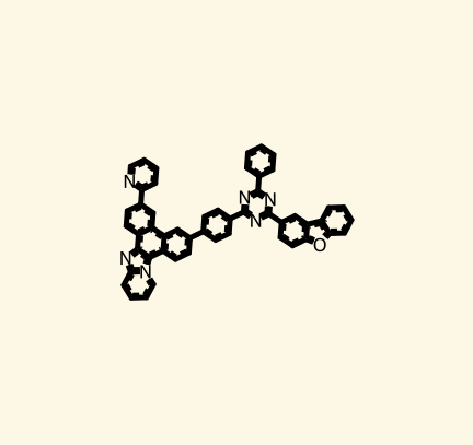 c1ccc(-c2nc(-c3ccc(-c4ccc5c(c4)c4cc(-c6ccccn6)ccc4c4nc6ccccn6c54)cc3)nc(-c3ccc4oc5ccccc5c4c3)n2)cc1